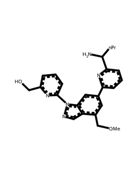 CCCC(N)c1cccc(-c2cc(COC)c3cnn(-c4cccc(CO)n4)c3c2)n1